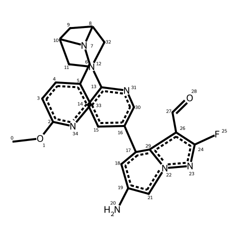 COc1ccc(CN2C3CC2CN(c2ccc(-c4cc(N)cn5nc(F)c(C=O)c45)cn2)C3)cn1